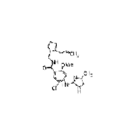 C=CCN1CCCC1CNC(=O)c1cc(Cl)c(NC2=NC(C)CN2)cc1OC